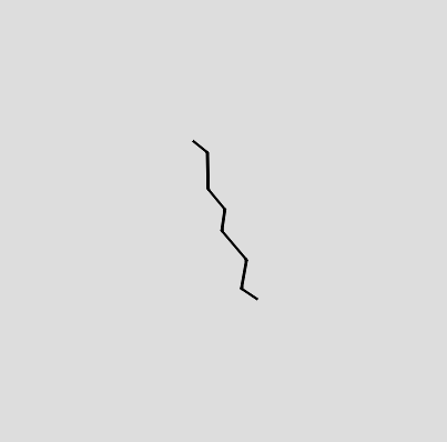 CC[CH]CCCCCCO